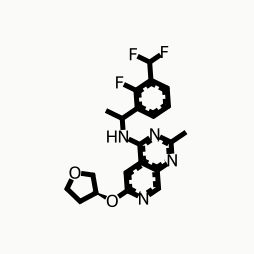 Cc1nc(NC(C)c2cccc(C(F)F)c2F)c2cc(O[C@H]3CCOC3)ncc2n1